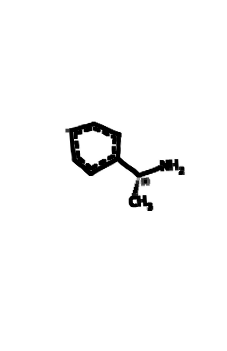 C[C@@H](N)c1cc[c]cc1